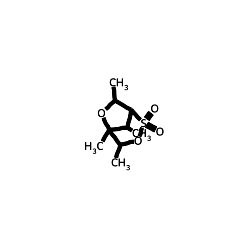 CC1OC2(C)C(C)OS(=O)(=O)C1C2C